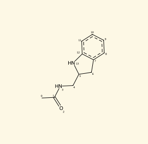 CC(=O)NCC1Cc2ccccc2N1